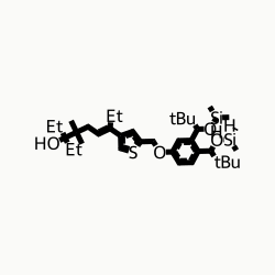 CCC(=CCC(C)(C)C(O)(CC)CC)c1csc(COc2ccc(C(O[SiH](C)C)C(C)(C)C)c(C(O[SiH](C)C)C(C)(C)C)c2)c1